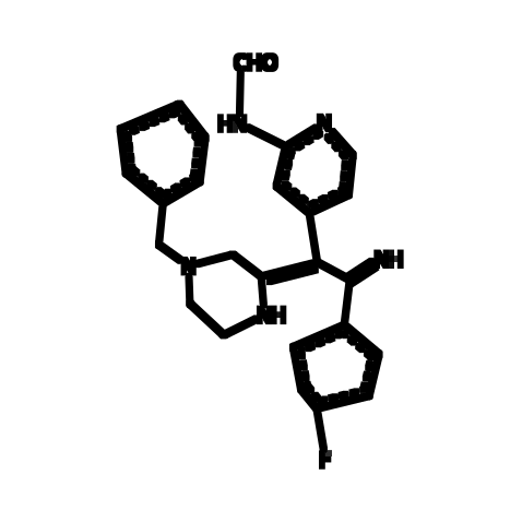 N=C(/C(=C1/CN(Cc2ccccc2)CCN1)c1ccnc(NC=O)c1)c1ccc(F)cc1